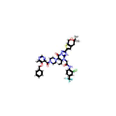 [2H]C1([2H])Cc2cc(-c3nc4n(CC(=O)Nc5ccc(C(F)(F)F)cc5Cl)c(CC)c(N5CCN(C(=O)c6ncnc(C)c6OCc6ccccc6)CC5)c(=O)n4n3)sc2CO1